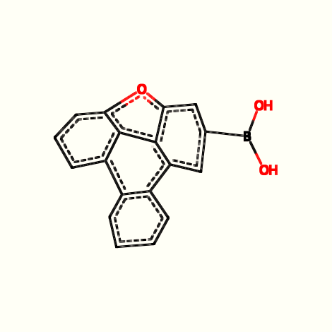 OB(O)c1cc2oc3cccc4c5ccccc5c(c1)c2c34